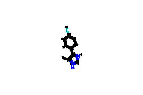 Cc1[nH]cnc1-c1ccc(F)cc1